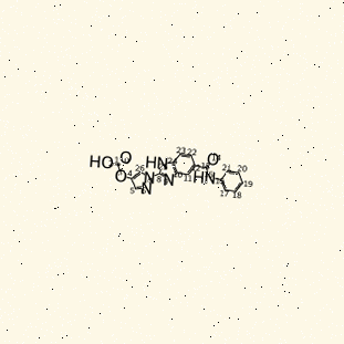 O=C(O)Oc1cnn(-c2nc3cc(C(=O)Nc4ccccc4)ccc3[nH]2)c1